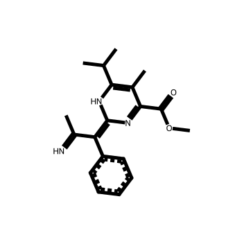 COC(=O)C1=N/C(=C(/C(C)=N)c2ccccc2)NC(C(C)C)=C1C